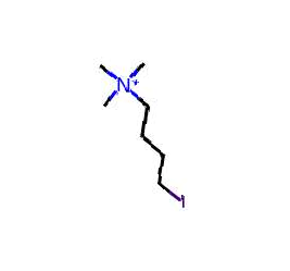 C[N+](C)(C)CCCCI